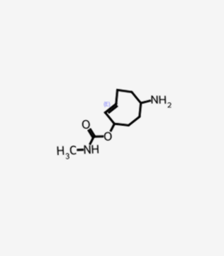 CNC(=O)OC1/C=C/CCC(N)CC1